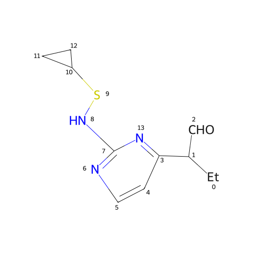 CCC(C=O)c1ccnc(NSC2CC2)n1